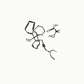 CCN(CC)CC#CCCC1(C(O)(c2ccccc2)c2ccccc2)SCCCS1.O=C(O)C(=O)O